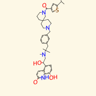 CC(C)c1cc(C(=O)N2CCCC3(CCN(Cc4cccc(CC(C)(C)N(C)C[C@H](O)c5ccc(O)c6[nH]c(=O)ccc56)c4)CC3)C2)cs1